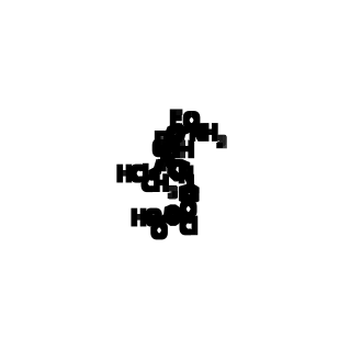 CCCCN(C(=O)Nc1cc(C(N)=O)c(F)cc1F)C1CCN(Cc2ccc(Oc3ccc(C(=O)O)cc3Cl)cc2)CC1.Cl